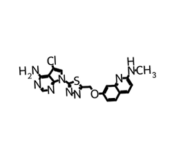 CNc1ccc2ccc(OCc3nnc(-n4cc(Cl)c5c(N)ncnc54)s3)cc2n1